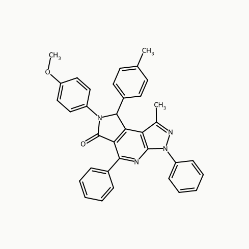 COc1ccc(N2C(=O)c3c(-c4ccccc4)nc4c(c(C)nn4-c4ccccc4)c3C2c2ccc(C)cc2)cc1